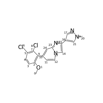 COc1ccc(Cl)c(Cl)c1-c1ccn2cc(-c3cnn(C)c3)nc2c1